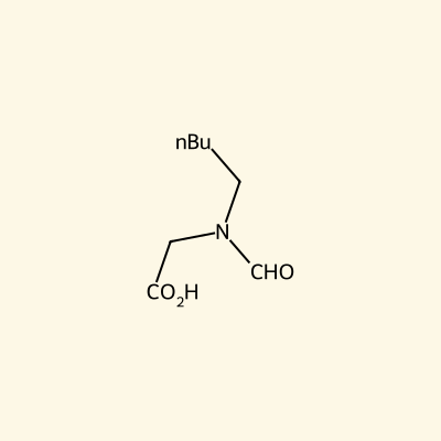 CCCCCN(C=O)CC(=O)O